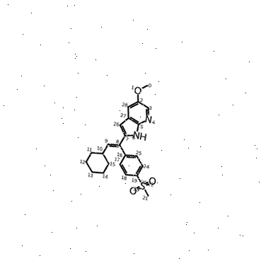 COc1cnc2[nH]c(C(=CC3CCCCC3)c3ccc(S(C)(=O)=O)cc3)cc2c1